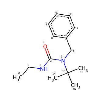 CCNC(=O)N(Cc1ccccc1)C(C)(C)C